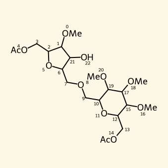 COC1C(COC(C)=O)OC(COCC2OC(COC(C)=O)C(OC)C(OC)C2OC)C1O